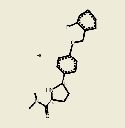 CN(C)C(=O)[C@@H]1CC[C@H](c2ccc(OCc3ccccc3F)cc2)N1.Cl